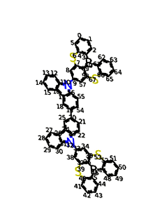 c1ccc2c(c1)Sc1cc(-n3c4ccccc4c4cc(-c5ccc6c(c5)c5ccccc5n6-c5cc6c7c(c5)Sc5ccccc5B7c5ccccc5S6)ccc43)cc3c1B2c1ccccc1S3